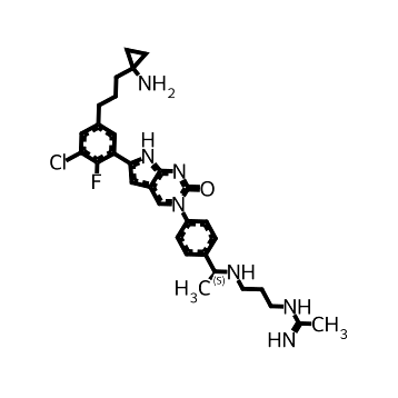 CC(=N)NCCCN[C@@H](C)c1ccc(-n2cc3cc(-c4cc(CCCC5(N)CC5)cc(Cl)c4F)[nH]c3nc2=O)cc1